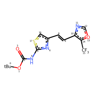 CC(C)(C)OC(=O)Nc1nc(/C=C/c2ncoc2C(F)(F)F)cs1